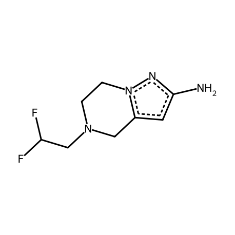 Nc1cc2n(n1)CCN(CC(F)F)C2